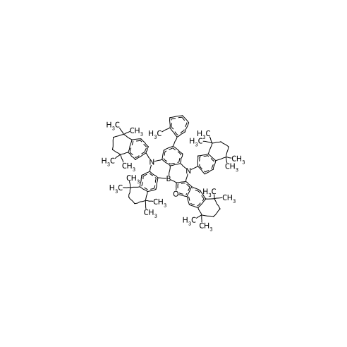 Cc1ccccc1-c1cc2c3c(c1)N(c1ccc4c(c1)C(C)(C)CCC4(C)C)c1c(oc4cc5c(cc14)C(C)(C)CCC5(C)C)B3c1cc3c(cc1N2c1ccc2c(c1)C(C)(C)CCC2(C)C)C(C)(C)CCC3(C)C